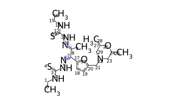 CCNC(=S)N/N=C(/C(C)=N/NC(=S)NCC)c1ccc(CN2CC(C)OC(C)C2)o1